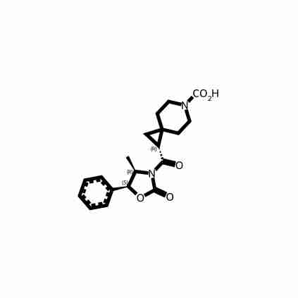 C[C@@H]1[C@H](c2ccccc2)OC(=O)N1C(=O)[C@@H]1CC12CCN(C(=O)O)CC2